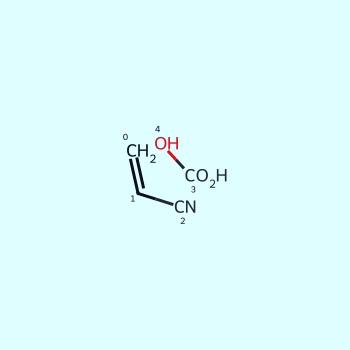 C=CC#N.O=C(O)O